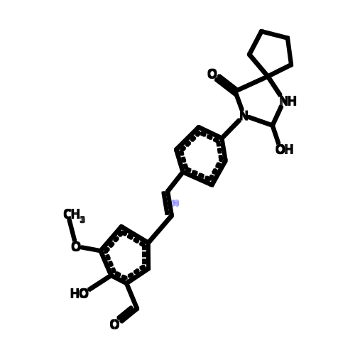 COc1cc(/C=C/c2ccc(N3C(=O)C4(CCCC4)NC3O)cc2)cc(C=O)c1O